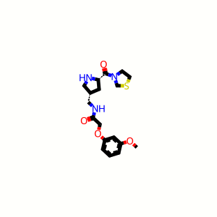 COc1cccc(OCC(=O)NC[C@@H]2CN[C@H](C(=O)N3CCSC3)C2)c1